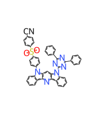 N#Cc1ccc(S(=O)(=O)c2ccc(-n3c4ccccc4c4nc5c6ccccc6n(-c6nc(-c7ccccc7)nc(-c7ccccc7)n6)c5cc43)cc2)cc1